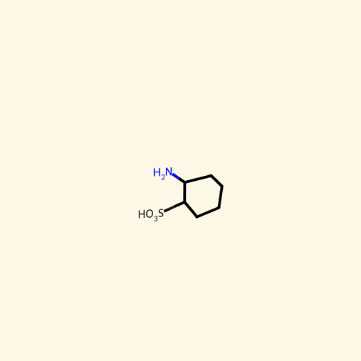 NC1CCCCC1S(=O)(=O)O